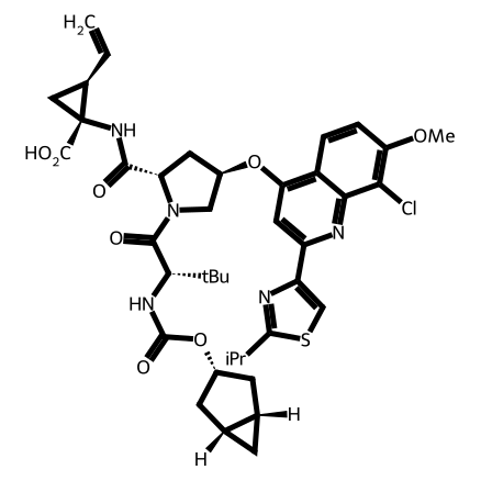 C=C[C@@H]1C[C@]1(NC(=O)[C@@H]1C[C@@H](Oc2cc(-c3csc(C(C)C)n3)nc3c(Cl)c(OC)ccc23)CN1C(=O)[C@@H](NC(=O)O[C@@H]1C[C@@H]2C[C@@H]2C1)C(C)(C)C)C(=O)O